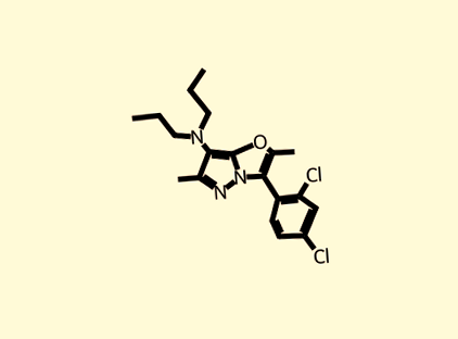 CCCN(CCC)c1c(C)nn2c(-c3ccc(Cl)cc3Cl)c(C)oc12